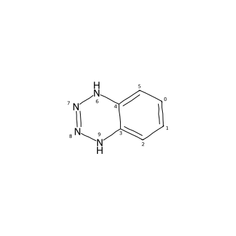 c1ccc2c(c1)NN=NN2